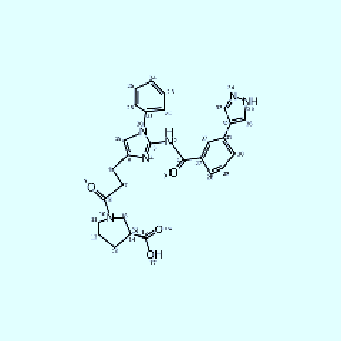 O=C(Nc1nc(CCC(=O)N2CCC[C@H](C(=O)O)C2)cn1-c1ccccc1)c1cccc(-c2cn[nH]c2)c1